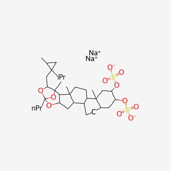 CCCC12OC3CC4C5CCC6CC(OS(=O)(=O)[O-])C(OS(=O)(=O)[O-])CC6(C)C5CCC4(C)C3C(C)(O1)C(CC1(C(C)C)CC1C)O2.[Na+].[Na+]